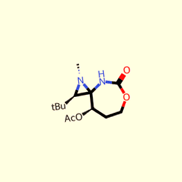 CC(=O)O[C@@H]1CCOC(=O)NC12[C@@H](C(C)(C)C)[N@]2C